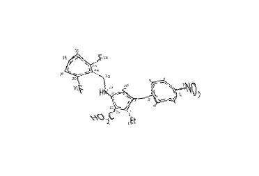 CCc1c(-c2ccc([N+](=O)[O-])cc2)sc(NCc2c(F)cccc2F)c1C(=O)O